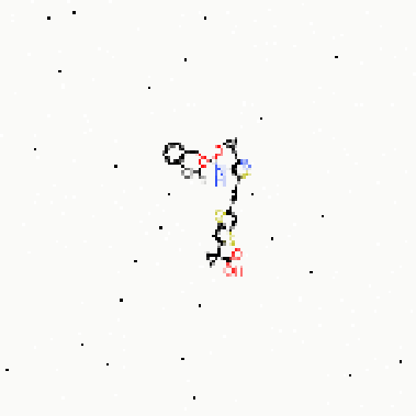 Cc1ccccc1COC(=O)Nc1c(C2CC2)nsc1C#Cc1cc2sc(C3(C(=O)O)CC3)cc2s1